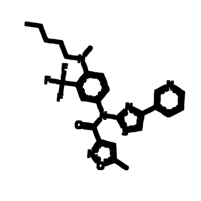 CCCCCN(C)c1ccc(N(C(=O)c2cc(C)on2)c2nc(-c3cccnc3)cs2)cc1C(F)(F)F